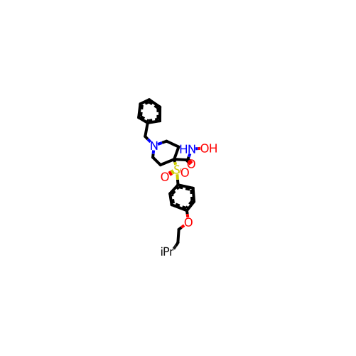 CC(C)CCOc1ccc(S(=O)(=O)C2(C(=O)NO)CCN(Cc3ccccc3)CC2)cc1